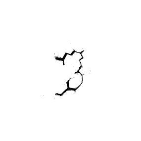 CC(=O)OCC=C1CC[C@@H](OC(C)=O)[C@](C)(CCCC(C)C(=CC=C(C)C)OC(C)=O)OC1